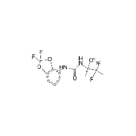 CC(F)(F)C(C)(NC(=O)Nc1cccc2c1OC(F)(F)O2)C(F)(F)F